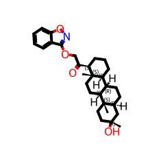 C[C@@]1(O)CC[C@@]2(C)[C@@H](CC[C@@H]3[C@@H]2CC[C@]2(C)[C@@H](C(=O)COc4noc5ccccc45)CCC[C@@H]32)C1